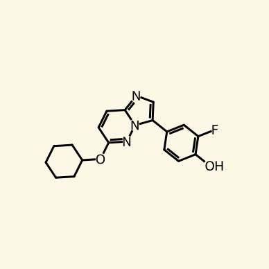 Oc1ccc(-c2cnc3ccc(OC4CCCCC4)nn23)cc1F